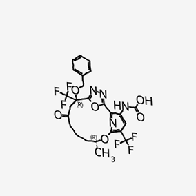 C[C@@H]1CCCC(=O)C[C@](OCc2ccccc2)(C(F)(F)F)c2nnc(o2)-c2nc(c(C(F)(F)F)cc2NC(=O)O)O1